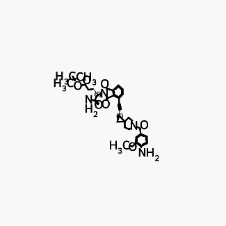 COc1cc(C(=O)N2CCC3(CC2)C[C@@H]3C#Cc2cccc3c2C(=O)N([C@@H](CCC(=O)OC(C)(C)C)C(N)=O)C3=O)ccc1N